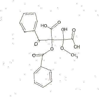 COC(O)(C(=O)O)C(OC(=O)c1ccccc1)(C(=O)O)C(=O)c1ccccc1